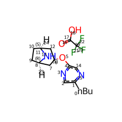 CCCCc1cnc(O[C@@H]2C[C@H]3CC[C@@H](C2)N3)cn1.O=C(O)C(F)(F)F